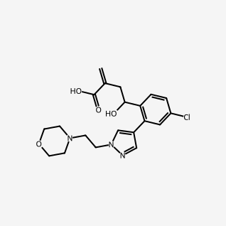 C=C(CC(O)c1ccc(Cl)cc1-c1cnn(CCN2CCOCC2)c1)C(=O)O